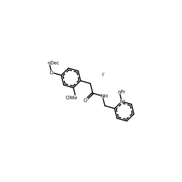 CCCCCCCCCCOc1ccc(CC(=O)NCc2cccc[n+]2CCC)c(OC)c1.[I-]